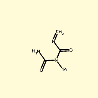 C=NC(=O)N(C(N)=O)C(C)C